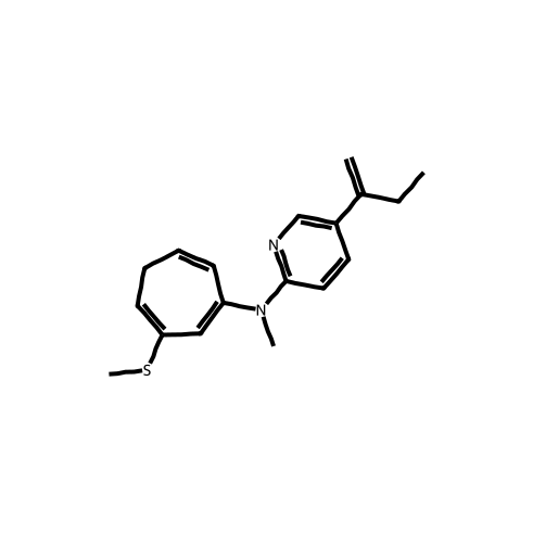 C=C(CC)c1ccc(N(C)C2=CC(SC)=CCC=C2)nc1